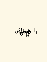 CC1=CN(c2ccc(C3CN([C@H](C)c4ccccc4)CCO3)cc2)NO1